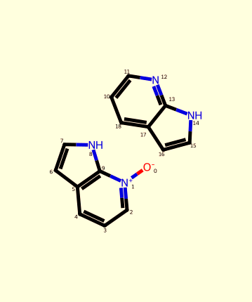 [O-][n+]1cccc2cc[nH]c21.c1cnc2[nH]ccc2c1